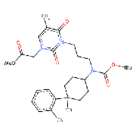 COC(=O)Cn1cc(C)c(=O)n(CCCN(C(=O)OC(C)(C)C)C2CCC(C#N)(c3ccccc3C#N)CC2)c1=O